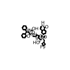 O=C(O)N[C@H](C(=O)NCc1ccc([C@@H](CO)N(CC2CC(F)(F)C2)S(=O)(=O)c2ccc3c(=O)[nH]ccc3c2)s1)C(c1ccccc1)c1ccccc1